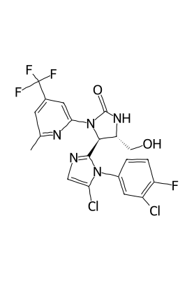 Cc1cc(C(F)(F)F)cc(N2C(=O)N[C@H](CO)[C@H]2c2ncc(Cl)n2-c2ccc(F)c(Cl)c2)n1